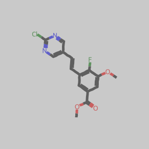 COC(=O)c1cc(/C=C/c2cnc(Cl)nc2)c(F)c(OC)c1